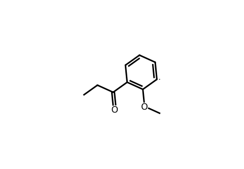 CCC(=O)c1ccc[c]c1OC